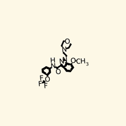 COc1cccc2c(C(=O)Nc3cccc(OC(F)(F)F)c3)nn(CCN3CCOCC3)c12